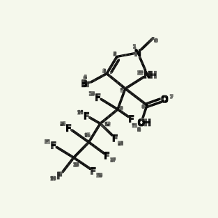 CN1C=C(Br)C(C(=O)O)(C(F)(F)C(F)(F)C(F)(F)C(F)(F)F)N1